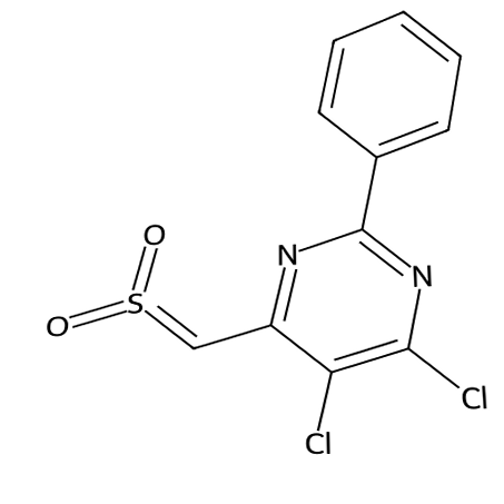 O=S(=O)=Cc1nc(-c2ccccc2)nc(Cl)c1Cl